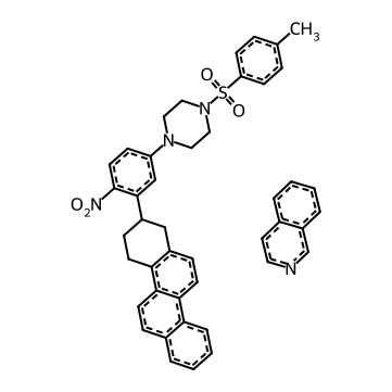 Cc1ccc(S(=O)(=O)N2CCN(c3ccc([N+](=O)[O-])c(C4CCc5c(ccc6c5ccc5ccccc56)C4)c3)CC2)cc1.c1ccc2cnccc2c1